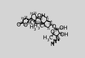 C[C@@H]1O[C@@H](O[C@@H]2C=C3CCC4C(CC[C@]5(C)[C@@H](c6ccc(=O)oc6)CC[C@]45O)[C@@]3(C)CC2)[C@H](O)C(O)[C@@H]1N=[N+]=[N-]